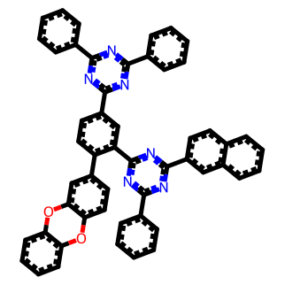 c1ccc(-c2nc(-c3ccccc3)nc(-c3ccc(-c4ccc5c(c4)Oc4ccccc4O5)c(-c4nc(-c5ccccc5)nc(-c5ccc6ccccc6c5)n4)c3)n2)cc1